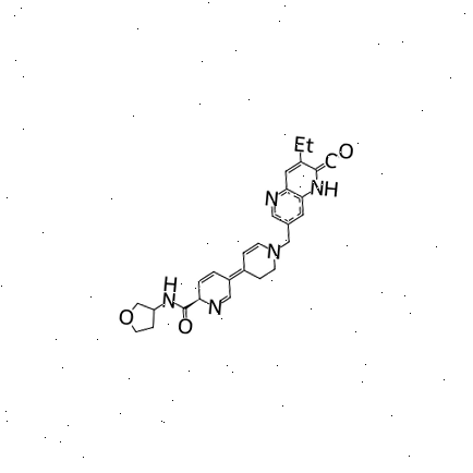 CCC1=Cc2ncc(CN3C=CC(=C4C=C[C@H](C(=O)NC5CCOC5)N=C4)CC3)cc2NC1=C=O